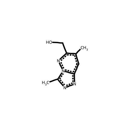 Cc1cc2nnc(C)n2nc1CO